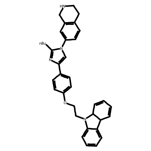 CCCCc1nc(-c2ccc(OCCN3c4ccccc4C4C=CC=CC43)cc2)cn1-c1ccc2c(c1)CNCC2